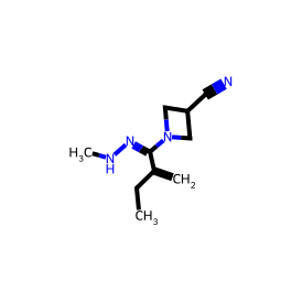 C=C(CC)/C(=N\NC)N1CC(C#N)C1